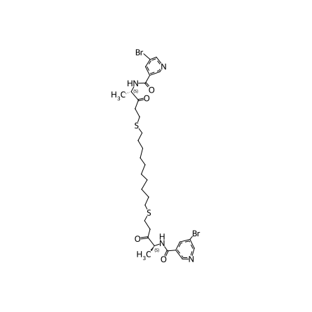 C[C@H](NC(=O)c1cncc(Br)c1)C(=O)CCSCCCCCCCCCCSCCC(=O)[C@H](C)NC(=O)c1cncc(Br)c1